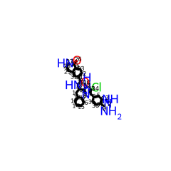 Nc1n[nH]c2cc(-c3nc(C(Cc4ccccc4)NC(=O)c4ccc5c(=O)[nH]ccc5c4)[nH]c3Cl)ccc12